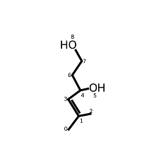 CC(C)=CC(O)CCO